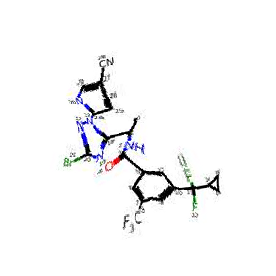 CC(NC(=O)c1cc(C(F)(F)F)cc(C(F)(F)C2CC2)c1)c1nc(Br)nn1-c1ccc(C#N)cn1